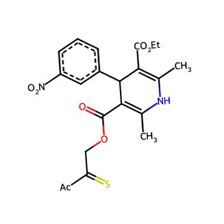 CCOC(=O)C1=C(C)NC(C)=C(C(=O)OCC(=S)C(C)=O)C1c1cccc([N+](=O)[O-])c1